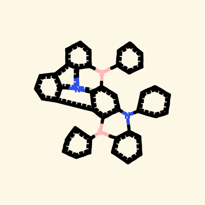 c1ccc(B2c3ccccc3N(c3ccccc3)c3cc4c5c(c32)c2cccc3c6cccc(c6n5c32)B4c2ccccc2)cc1